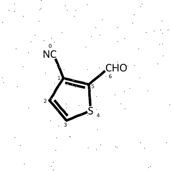 N#Cc1ccsc1C=O